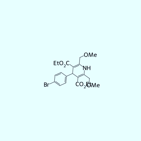 CCOC(=O)C1=C(COC)NC(COC)=C(C(=O)OCC)C1c1ccc(Br)cc1